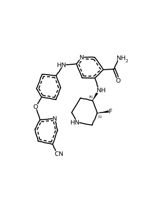 N#Cc1ccc(Oc2ccc(Nc3cc(N[C@@H]4CCNC[C@@H]4F)c(C(N)=O)cn3)cc2)nc1